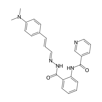 CN(C)c1ccc(/C=C/C=N/NC(=O)c2ccccc2NC(=O)c2cccnc2)cc1